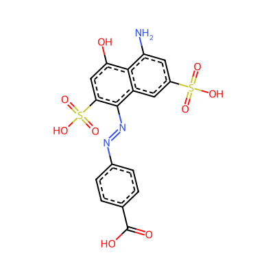 Nc1cc(S(=O)(=O)O)cc2c(N=Nc3ccc(C(=O)O)cc3)c(S(=O)(=O)O)cc(O)c12